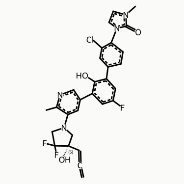 C=C=C[C@]1(O)CN(c2cc(-c3cc(F)cc(-c4ccc(-n5ccn(C)c5=O)c(Cl)c4)c3O)cnc2C)CC1(F)F